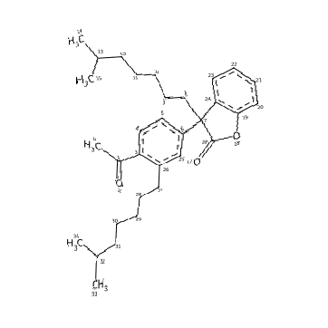 CC(=O)c1ccc(C2(CCCCCC(C)C)C(=O)Oc3ccccc32)cc1CCCCCC(C)C